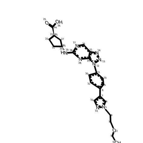 CCOCCn1cc(-c2ccc(-n3nnc4cnc(N[C@@H]5CC[C@@H](C(=O)O)C5)nc43)cc2)cn1